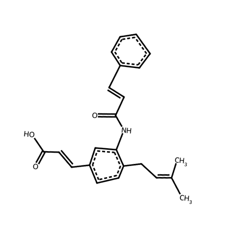 CC(C)=CCc1ccc(/C=C/C(=O)O)cc1NC(=O)/C=C/c1ccccc1